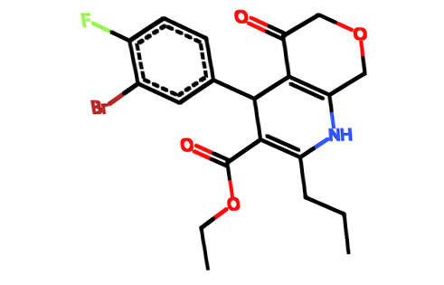 CCCC1=C(C(=O)OCC)C(c2ccc(F)c(Br)c2)C2=C(COCC2=O)N1